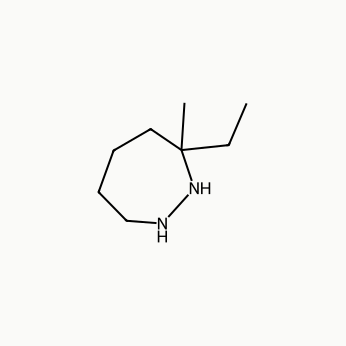 CCC1(C)CCCCNN1